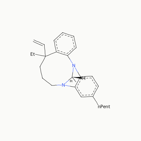 C=CC1(CC)CCCN2c3cc(CCCCC)ccc3N(c3ccccc31)[C@@H]2C